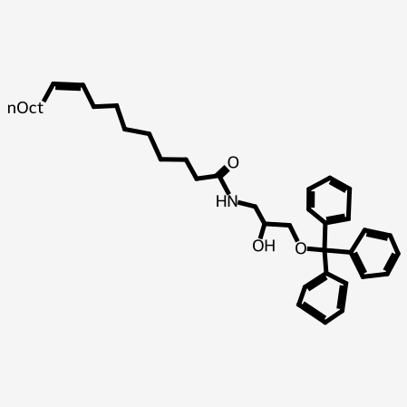 CCCCCCCC/C=C\CCCCCCCC(=O)NCC(O)COC(c1ccccc1)(c1ccccc1)c1ccccc1